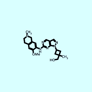 COc1cc2c(cc1Nc1ncc3cnn(C4CC(C)(CO)C4)c3n1)CN(C)CC2